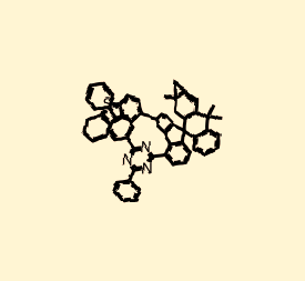 CC12CC1=CC1=C(C2)C2(C3=C(CC(c4ccc5sc6c(c5c4)C=CCC6)C=C3)c3c(-c4nc(C5=CCC(C6C=CC=CC6)C=C5)nc(-c5ccccc5)n4)cccc32)c2ccccc2C1(C)C